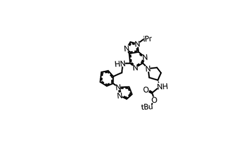 CC(C)n1cnc2c(NCc3ccccc3-n3cccn3)nc(N3CC[C@H](NC(=O)OC(C)(C)C)C3)nc21